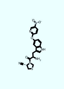 N#C[C@H]1CSCN1C(=O)C(N)Cc1c[nH]c2ccc(Oc3ccc([N+](=O)[O-])cn3)cc12